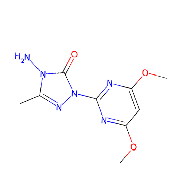 COc1cc(OC)nc(-n2nc(C)n(N)c2=O)n1